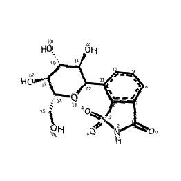 O=C1NS(=O)(=O)c2c1cccc2C1O[C@H](CO)[C@@H](O)[C@H](O)[C@H]1O